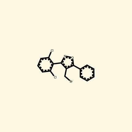 Clc1cccc(Cl)c1-c1noc(-c2ccccc2)c1CBr